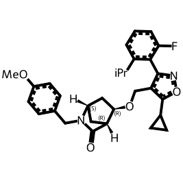 COc1ccc(CN2C(=O)[C@@H]3C[C@H]2C[C@H]3OCc2c(-c3c(F)cccc3C(C)C)noc2C2CC2)cc1